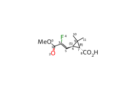 COC(=O)C(F)=C[C@@H]1[C@@H](C(=O)O)C1(C)C